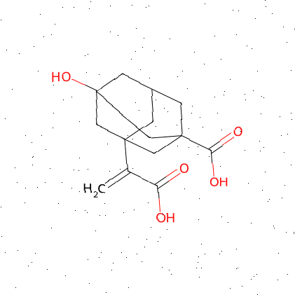 C=C(C(=O)O)C12CC3CC(O)(C1)CC(C(=O)O)(C3)C2